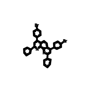 Brc1ccc(-c2cc(-c3ccccc3)nc3c2ccc2c(-c4ccc(Br)cc4)cc(-c4ccccc4)nc23)cc1